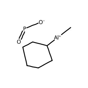 O=P[O-].[CH3][Al+][CH]1CCCCC1